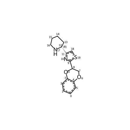 c1ccc2c(c1)OCC(c1nc([C@H]3CCCCN3)cs1)O2